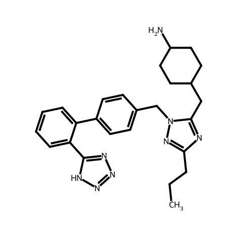 CCCc1nc(CC2CCC(N)CC2)n(Cc2ccc(-c3ccccc3-c3nnn[nH]3)cc2)n1